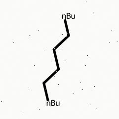 [CH2]CCCCCCCC[CH]CC